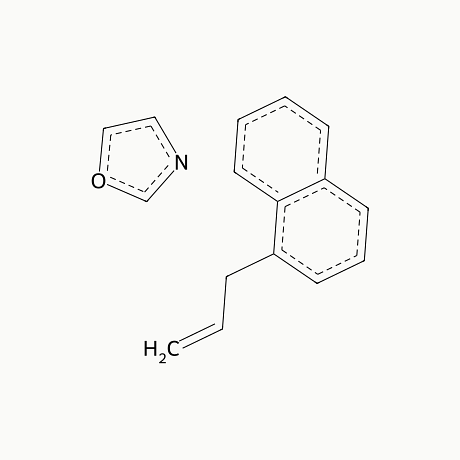 C=CCc1cccc2ccccc12.c1cocn1